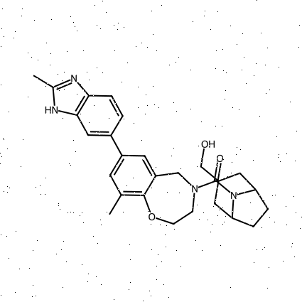 Cc1nc2ccc(-c3cc(C)c4c(c3)CN(C(=O)N3C5CCC3CC(CO)C5)CCO4)cc2[nH]1